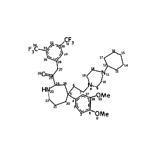 COc1ccc(C2(CCN3CCN(C4CCCCC4)CC3)CCCNC(C(=O)Cc3cc(C(F)(F)F)cc(C(F)(F)F)c3)C2)cc1OC